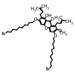 COc1c(OCCCCCCCCCCBr)cc2oc3cc(OCCCCCCCCCCBr)c(CC=C(C)C)c(O)c3c(=O)c2c1CC=C(C)C